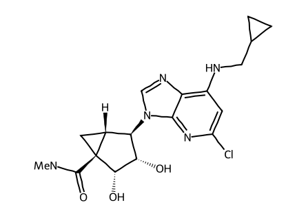 CNC(=O)[C@@]12C[C@@H]1[C@@H](n1cnc3c(NCC4CC4)cc(Cl)nc31)[C@H](O)[C@@H]2O